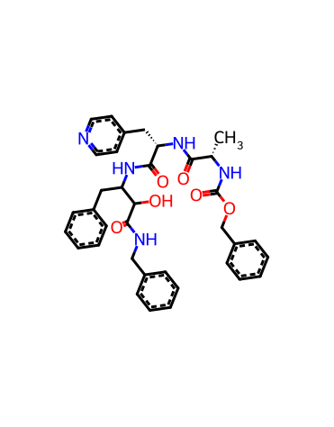 C[C@H](NC(=O)OCc1ccccc1)C(=O)N[C@@H](Cc1ccncc1)C(=O)NC(Cc1ccccc1)C(O)C(=O)NCc1ccccc1